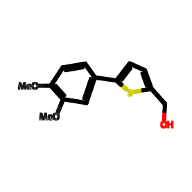 COc1ccc(-c2ccc(CO)s2)cc1OC